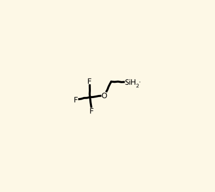 FC(F)(F)OC[SiH2]